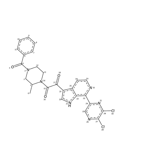 CC1CN(C(=O)c2ccccc2)CCN1C(=O)C(=O)c1c[nH]c2c(-c3cnc(Cl)c(Cl)n3)nccc12